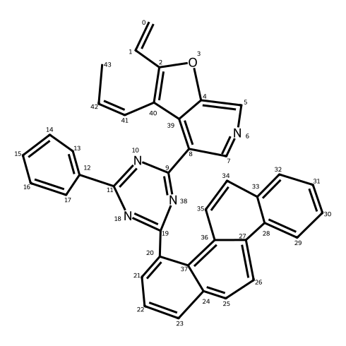 C=Cc1oc2cncc(-c3nc(-c4ccccc4)nc(-c4cccc5ccc6c7ccccc7ccc6c45)n3)c2c1/C=C\C